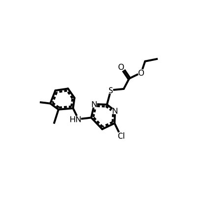 CCOC(=O)CSc1nc(Cl)cc(Nc2cccc(C)c2C)n1